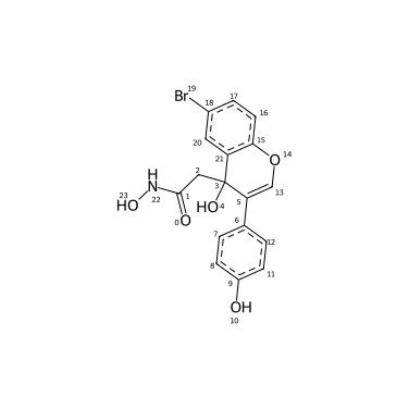 O=C(CC1(O)C(c2ccc(O)cc2)=COc2ccc(Br)cc21)NO